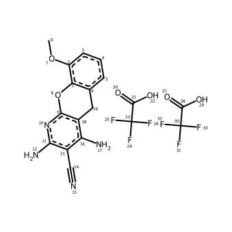 COc1cccc2c1Oc1nc(N)c(C#N)c(N)c1C2.O=C(O)C(F)(F)F.O=C(O)C(F)(F)F